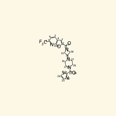 O=C(c1cc2ccc(C(F)(F)F)nc2o1)N1CC(N2CCN(C(=O)c3nccs3)CC2)C1